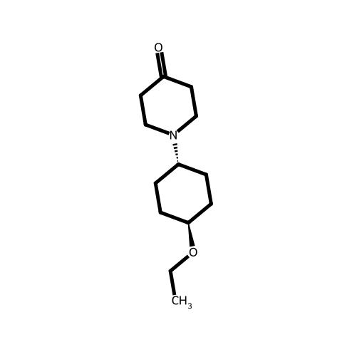 CCO[C@H]1CC[C@H](N2CCC(=O)CC2)CC1